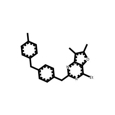 CCc1nc(Cc2ccc(Cc3ccc(C)cc3)cc2)nc2c(C)c(C)oc12